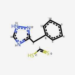 S=CS.c1ccc(Cc2nc[nH]n2)cc1